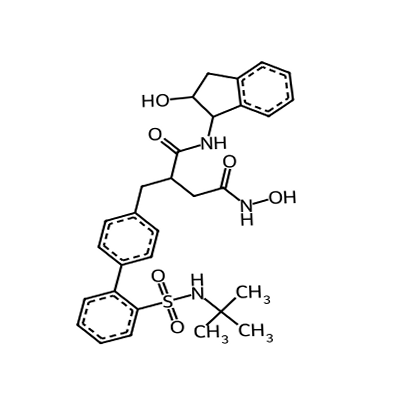 CC(C)(C)NS(=O)(=O)c1ccccc1-c1ccc(CC(CC(=O)NO)C(=O)NC2c3ccccc3CC2O)cc1